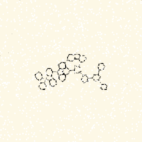 c1ccc(-c2cc(-c3ccccc3)cc(-c3cccc(-c4nc(-c5ccccc5)nc(-c5cccc6sc7ccc(-c8ccc9c(c8)c8ccccc8n9-c8cccc9c8-c8ccccc8C9(c8ccccc8)c8ccccc8)cc7c56)n4)c3)c2)cc1